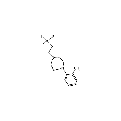 Cc1c[c]ccc1N1CCN(CCC(F)(F)F)CC1